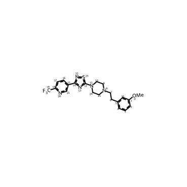 COc1cccc(CCN2CCN(c3nc(-c4ccc(C(F)(F)F)nc4)ns3)CC2)c1